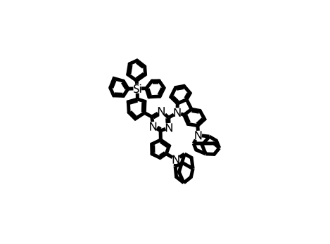 c1ccc([Si](c2ccccc2)(c2ccccc2)c2cccc(-c3nc(-c4cccc(N5C6CC7CC(C6)CC5C7)c4)nc(-n4c5ccccc5c5ccc(N6C7CC8CC(C7)CC6C8)cc54)n3)c2)cc1